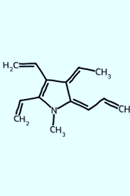 C=C/C=c1\c(=C/C)c(C=C)c(C=C)n1C